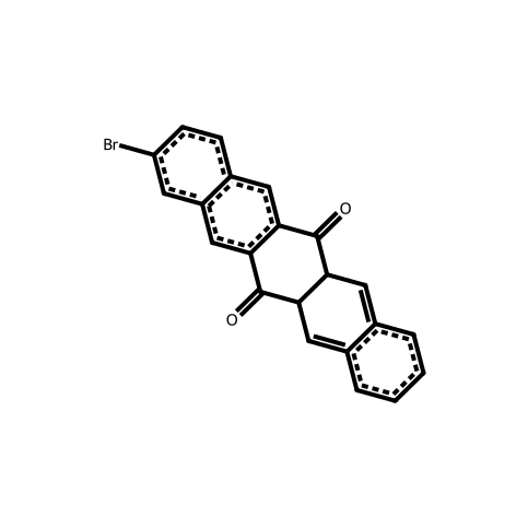 O=C1c2cc3ccc(Br)cc3cc2C(=O)C2C=c3ccccc3=CC12